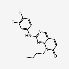 CCCCn1c(=O)ccc2cnc(Nc3ccc(F)c(F)c3)nc21